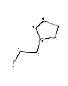 FCC[C]1CCCC1